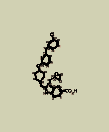 O=C(O)c1ccc2nc(CN3CCC(Oc4cccc(Cc5cccc(Cl)c5)n4)CC3)n(C[C@@H]3CCO3)c2n1